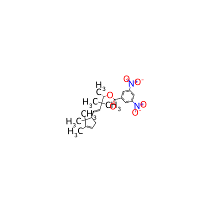 CC1=CC[C@H](/C=C/C(C)(C)[C@H](C)OC(=O)c2cc([N+](=O)[O-])cc([N+](=O)[O-])c2)C1(C)C